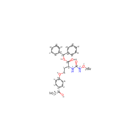 CC(C)(C)ONC(=O)NC(CCOc1ccc(C(=O)C(=O)O)cc1)C(=O)OC(c1ccccc1)c1ccccc1